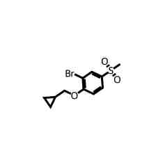 CS(=O)(=O)c1ccc(OCC2CC2)c(Br)c1